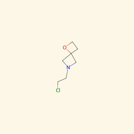 ClCCN1CC2(CCO2)C1